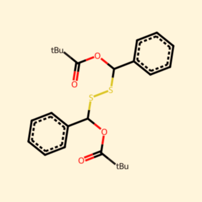 CC(C)(C)C(=O)OC(SSC(OC(=O)C(C)(C)C)c1ccccc1)c1ccccc1